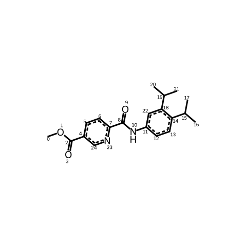 COC(=O)c1ccc(C(=O)Nc2ccc(C(C)C)c(C(C)C)c2)nc1